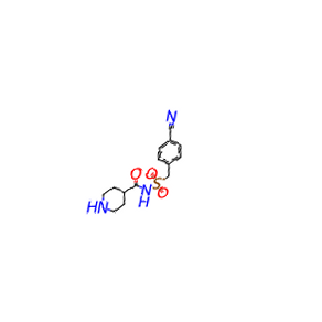 N#Cc1ccc(CS(=O)(=O)NC(=O)C2CCNCC2)cc1